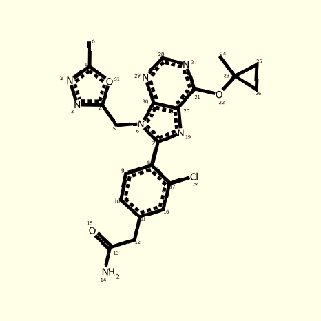 Cc1nnc(Cn2c(-c3ccc(CC(N)=O)cc3Cl)nc3c(OC4(C)CC4)ncnc32)o1